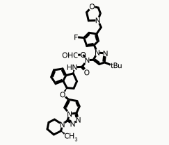 C[C@H]1CCCCN1c1nnc2ccc(O[C@@H]3CC[C@H](NC(=O)N(OC=O)c4cc(C(C)(C)C)nn4-c4cc(F)cc(CN5CCOCC5)c4)c4ccccc43)cn12